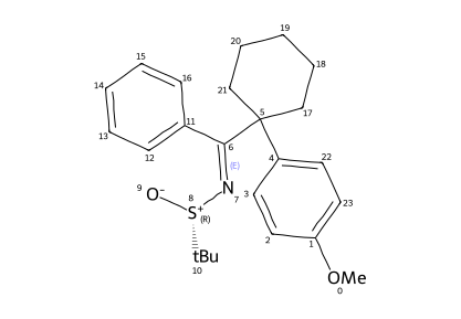 COc1ccc(C2(/C(=N/[S@@+]([O-])C(C)(C)C)c3ccccc3)CCCCC2)cc1